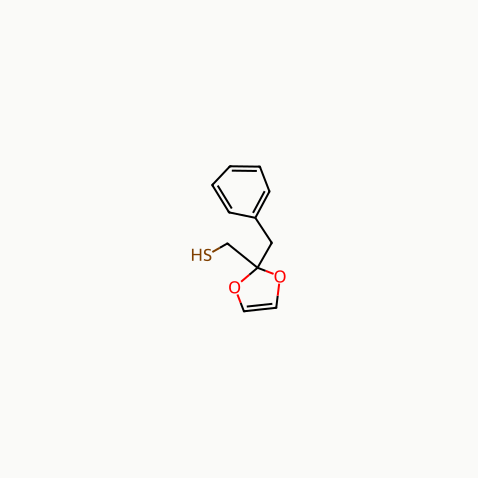 SCC1(Cc2ccccc2)OC=CO1